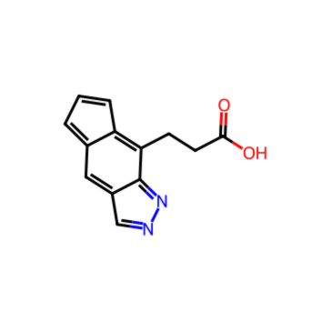 O=C(O)CCc1c2c(cc3c1=NN=C3)=CC=C2